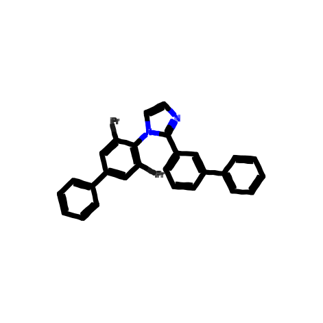 CC(C)c1cc(-c2ccccc2)cc(C(C)C)c1-n1ccnc1-c1cccc(-c2ccccc2)c1